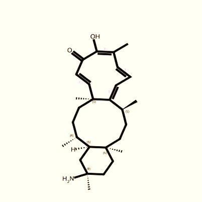 CC1=C(/O)C(=O)/C=C/[C@]2(C)CC[C@@H](C)[C@@H]3C[C@](C)(N)CC[C@]3(C)CC[C@H](C)\C2=C/C=C/1